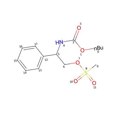 CCCCOC(=O)NC(COS(C)(=O)=O)c1ccccc1